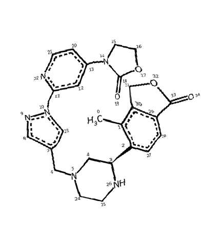 Cc1c([C@@H]2CN(Cc3cnn(-c4cc(N5CCOC5=O)ccn4)c3)CCN2)ccc2c1COC2=O